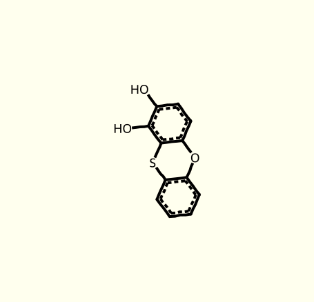 Oc1ccc2c(c1O)Sc1ccccc1O2